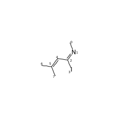 C/N=C(/I)C=C(C)C